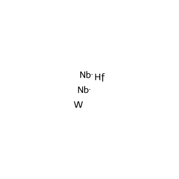 [Hf].[Nb].[Nb].[W]